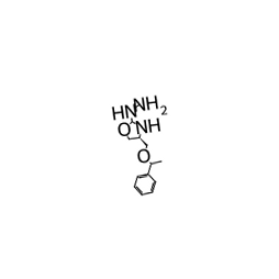 CC(OC[C@H]1COC(NN)N1)c1ccccc1